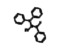 CC(C)N(P(F)c1ccccc1)P(c1ccccc1)c1ccccc1